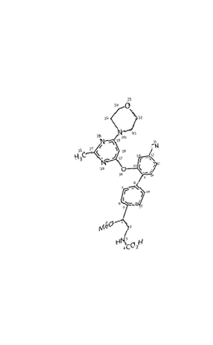 COC(CNC(=O)O)c1ccc(-c2ccc(C#N)cc2Oc2cc(N3CCOCC3)nc(C)n2)cc1